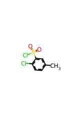 Cc1ccc(Cl)c(S(=O)(=O)Cl)c1